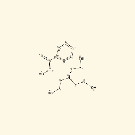 O=C(OO)c1ccccc1.OCCN(CCO)CCO